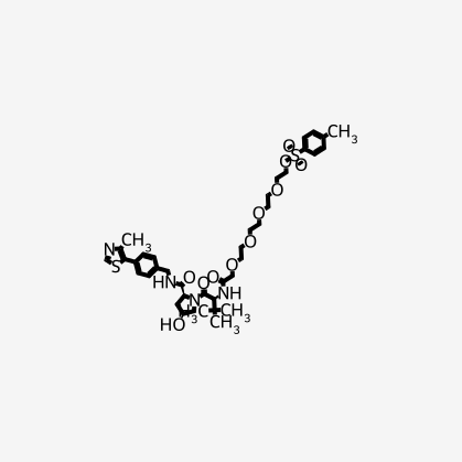 Cc1ccc(S(=O)(=O)OCCOCCOCCOCCOCC(=O)N[C@H](C(=O)N2C[C@H](O)C[C@H]2C(=O)NCc2ccc(-c3scnc3C)cc2)C(C)(C)C)cc1